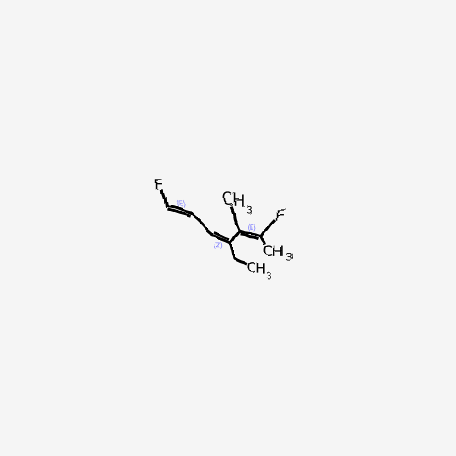 CCC(=C/C=C/F)/C(C)=C(\C)F